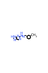 Cc1cccc(C=NNc2ncc3nc[nH]c3n2)c1